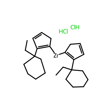 CCC1(C2=[C]([Zr][C]3=C(C4(CC)CCCCC4)C=CC3)CC=C2)CCCCC1.Cl.Cl